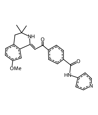 COc1ccc2c(c1)C(=CC(=O)c1ccc(C(=O)Nc3ccncc3)cc1)NC(C)(C)C2